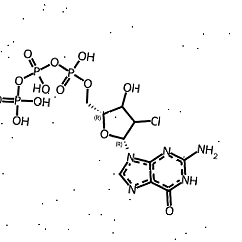 Nc1nc2c(ncn2[C@@H]2O[C@H](COP(=O)(O)OP(=O)(O)OP(=O)(O)O)C(O)C2Cl)c(=O)[nH]1